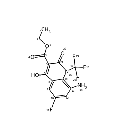 CCOC(=O)c1c(O)c2cc(F)cc(N)c2n(C(F)(F)F)c1=O